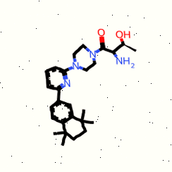 C[C@H](O)C(N)C(=O)N1CCN(c2cccc(-c3ccc4c(c3)C(C)(C)CCC4(C)C)n2)CC1